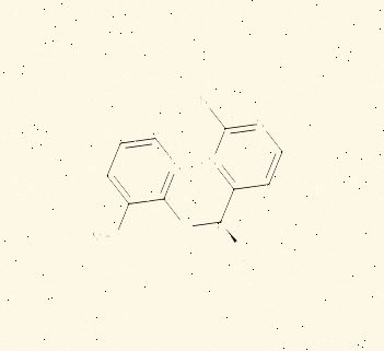 CSc1cccnc1O[C@H](C)c1ccnc(N)n1